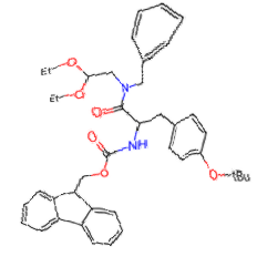 CCOC(CN(Cc1ccccc1)C(=O)C(Cc1ccc(OC(C)(C)C)cc1)NC(=O)OCC1c2ccccc2-c2ccccc21)OCC